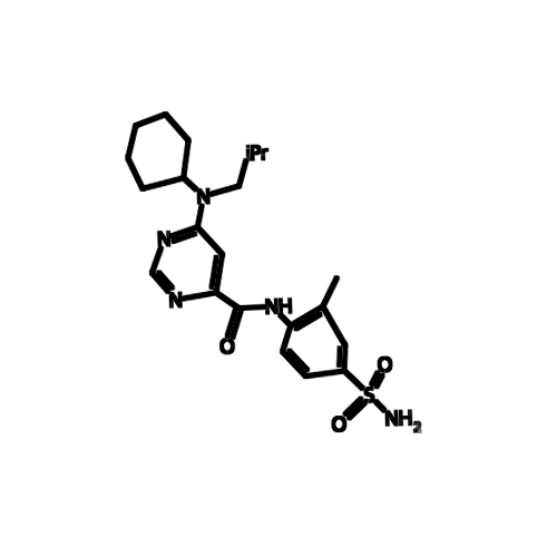 Cc1cc(S(N)(=O)=O)ccc1NC(=O)c1cc(N(CC(C)C)C2CCCCC2)ncn1